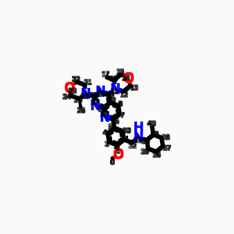 COc1ccc(-c2ccc3c(N4CCOCC4C)nc(N4CCOC[C@@H]4C)nc3n2)cc1CNC1CCCCC1C